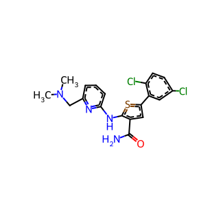 CN(C)Cc1cccc(Nc2sc(-c3cc(Cl)ccc3Cl)cc2C(N)=O)n1